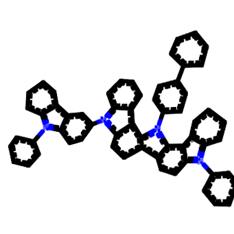 c1ccc(-c2ccc(-n3c4c(ccc5c4c4ccccc4n5-c4ccccc4)c4ccc5c(c6ccccc6n5-c5ccc6c(c5)c5ccccc5n6-c5ccccc5)c43)cc2)cc1